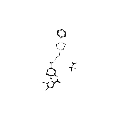 O=C(NCCN1CCN(c2ccccc2)CC1)c1ccc2c(c1)[nH]c(=O)c1cc(Cl)c(Cl)n12.O=C(O)C(F)(F)F